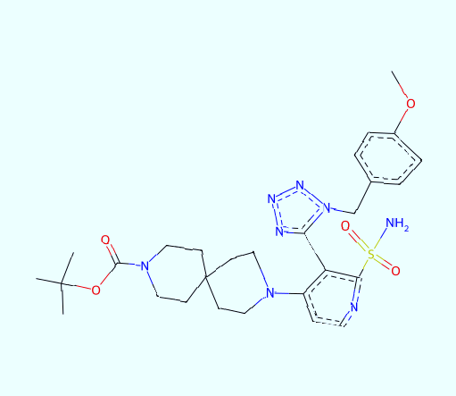 COc1ccc(Cn2nnnc2-c2c(N3CCC4(CCN(C(=O)OC(C)(C)C)CC4)CC3)ccnc2S(N)(=O)=O)cc1